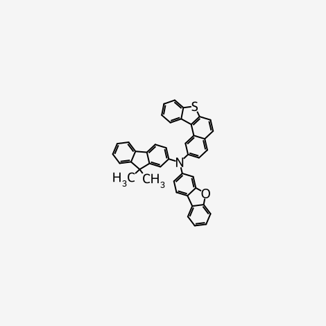 CC1(C)c2ccccc2-c2ccc(N(c3ccc4c(c3)oc3ccccc34)c3ccc4ccc5sc6ccccc6c5c4c3)cc21